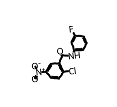 O=C(Nc1cccc(F)c1)c1cc([N+](=O)[O-])ccc1Cl